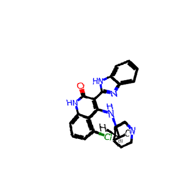 O=c1[nH]c2cccc(Cl)c2c(N[C@@H]2CN3CCC2CC3)c1-c1nc2ccccc2[nH]1